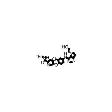 CC(C)(C)NC(=O)c1ccc(Oc2ccc(Nc3ncnc4ccn(CCO)c34)cc2Cl)cn1